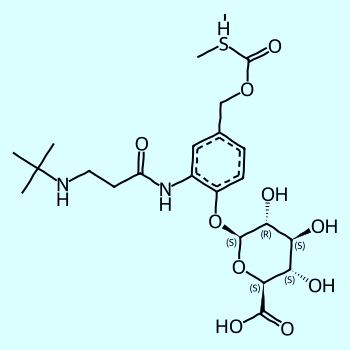 C[SH](C)C(=O)OCc1ccc(O[C@@H]2O[C@H](C(=O)O)[C@@H](O)[C@H](O)[C@H]2O)c(NC(=O)CCNC(C)(C)C)c1